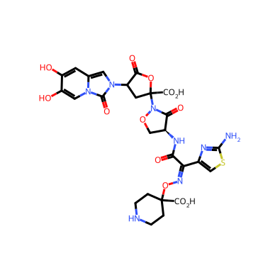 Nc1nc(/C(=N/OC2(C(=O)O)CCNCC2)C(=O)N[C@H]2CON(C3(C(=O)O)CC(n4cc5cc(O)c(O)cn5c4=O)C(=O)O3)C2=O)cs1